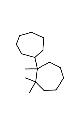 CC1(C)CCCCCC1(C)C1CCCCCC1